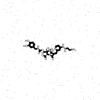 C[C@]1(COC(=O)NCc2ccc(O)c(O)c2)[C@H](C(=O)O)N2C(=O)/C(=C/c3cc(NNCCN)ccn3)[C@H]2S1(=O)=O